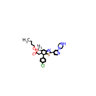 CCCCOOC(=O)Cc1c(C)cc2nc(-c3ccnc(N4CCNCC4)c3)sc2c1-c1ccc(Cl)cc1